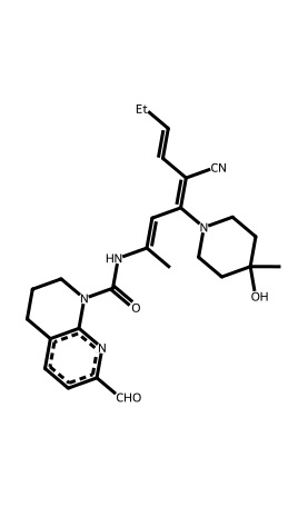 CC/C=C/C(C#N)=C(\C=C(/C)NC(=O)N1CCCc2ccc(C=O)nc21)N1CCC(C)(O)CC1